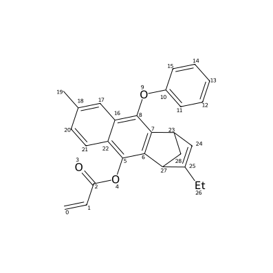 C=CC(=O)Oc1c2c(c(Oc3ccccc3)c3cc(C)ccc13)C1C=C(CC)C2C1